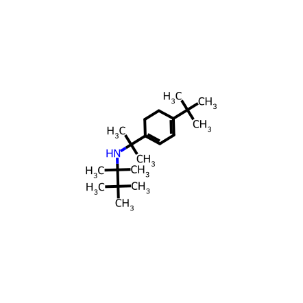 CC(C)(C)C1=CC=C(C(C)(C)NC(C)(C)C(C)(C)C)CC1